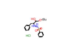 CC(C)(C)OC[C@H](O)[C@H](Cc1ccccc1)NNS(=O)(=O)c1ccccc1.Cl